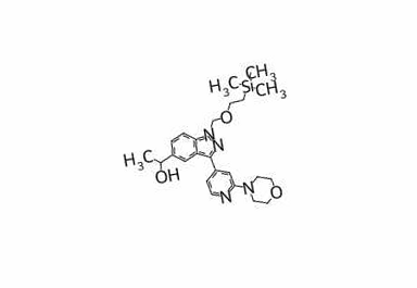 CC(O)c1ccc2c(c1)c(-c1ccnc(N3CCOCC3)c1)nn2COCC[Si](C)(C)C